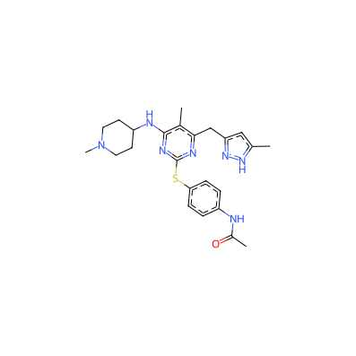 CC(=O)Nc1ccc(Sc2nc(Cc3cc(C)[nH]n3)c(C)c(NC3CCN(C)CC3)n2)cc1